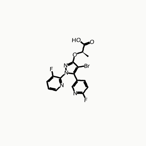 C[C@@H](Oc1nn(-c2ncccc2F)c(-c2ccc(F)nc2)c1Br)C(=O)O